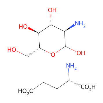 N[C@@H](CCC(=O)O)C(=O)O.N[C@H]1C(O)O[C@H](CO)[C@@H](O)[C@@H]1O